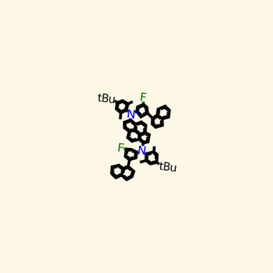 Cc1cc(C(C)(C)C)cc(C)c1N(c1cc(F)cc(-c2cccc3ccccc23)c1)c1ccc2ccc3c(N(c4cc(F)cc(-c5cccc6ccccc56)c4)c4c(C)cc(C(C)(C)C)cc4C)ccc4ccc1c2c43